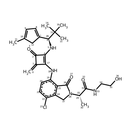 C=C1C(=O)C(N[C@@H](C2=CC=C(C)C2)C(C)(C)C)=C1Nc1ccc(Cl)c2c1C(=O)N([C@@H](C)C(=O)NCCO)C2